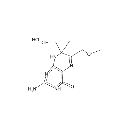 COCC1=Nc2c(nc(N)[nH]c2=O)NC1(C)C.Cl.Cl